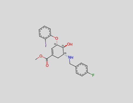 COC(=O)C1=C[C@H](Oc2ccccc2I)[C@@H](O)[C@H](NCc2ccc(F)cc2)C1